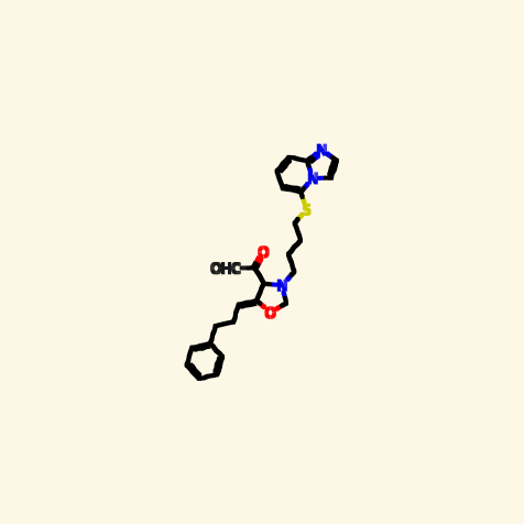 O=CC(=O)C1C(=CCCc2ccccc2)OCN1CCCCSc1cccc2nccn12